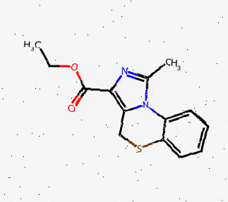 CCOC(=O)c1nc(C)n2c1CSc1ccccc1-2